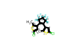 Cc1sc(Cl)cc1C1=C(c2cc(Cl)sc2C)C(F)(F)C(F)(F)C1(F)F